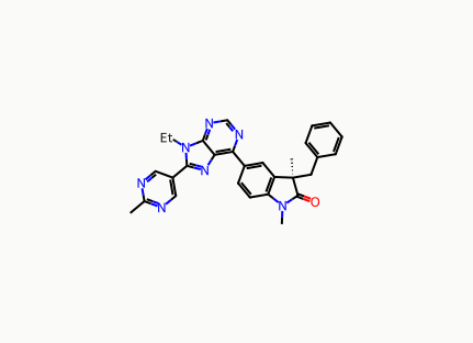 CCn1c(-c2cnc(C)nc2)nc2c(-c3ccc4c(c3)[C@@](C)(Cc3ccccc3)C(=O)N4C)ncnc21